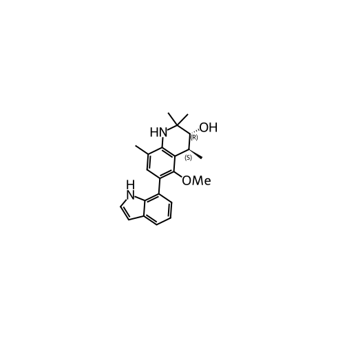 COc1c(-c2cccc3cc[nH]c23)cc(C)c2c1[C@H](C)[C@@H](O)C(C)(C)N2